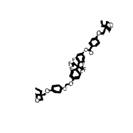 CCC1(COc2ccc(OCOc3ccc(C(c4ccc(OC(=O)c5ccc(OCC6(CC)COC6)cc5)cc4)(C(F)(F)F)C(F)(F)F)cc3)cc2)COC1